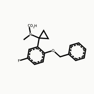 CN(C(=O)O)C1(c2cc(F)ccc2OCc2ccccc2)CC1